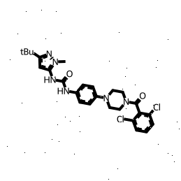 Cn1nc(C(C)(C)C)cc1NC(=O)Nc1ccc(N2CCN(C(=O)c3c(Cl)cccc3Cl)CC2)cc1